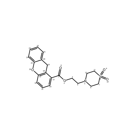 O=C(OCCN1CCS(=O)(=O)CC1)c1cccc2c1Cc1ccccc1O2